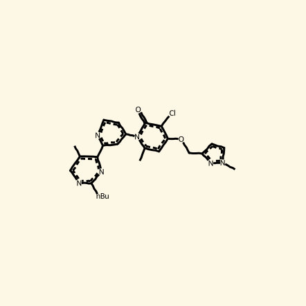 CCCCc1ncc(C)c(-c2cc(-n3c(C)cc(OCc4ccn(C)n4)c(Cl)c3=O)ccn2)n1